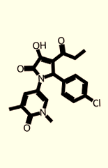 CCC(=O)C1=C(O)C(=O)N(c2cc(C)c(=O)n(C)c2)C1c1ccc(Cl)cc1